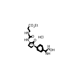 CCOC(=O)CCNC(=O)N[C@H]1CCN(c2ccc(C(=N)NO)cc2)C1=O.Cl